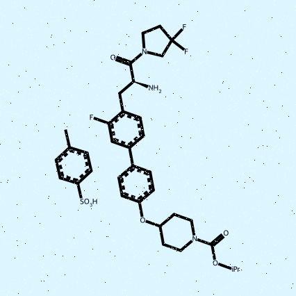 CC(C)OC(=O)N1CCC(Oc2ccc(-c3ccc(C[C@H](N)C(=O)N4CCC(F)(F)C4)c(F)c3)cc2)CC1.Cc1ccc(S(=O)(=O)O)cc1